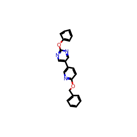 c1ccc(COc2ccc(-c3cnc(Oc4ccccc4)nc3)cn2)cc1